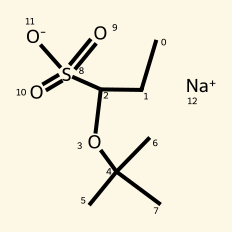 CCC(OC(C)(C)C)S(=O)(=O)[O-].[Na+]